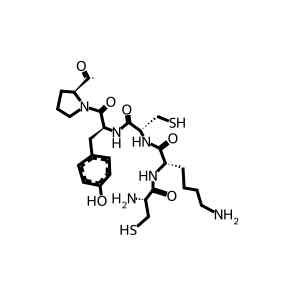 NCCCC[C@H](NC(=O)[C@@H](N)CS)C(=O)N[C@@H](CS)C(=O)N[C@@H](Cc1ccc(O)cc1)C(=O)N1CCC[C@H]1[C]=O